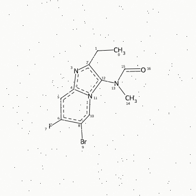 CCc1nc2cc(F)c(Br)cn2c1N(C)C=O